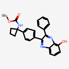 CC(C)(C)OC(=O)NC1(c2ccc(-c3nc4cccc(O)c4nc3-c3ccccc3)cc2)CCC1